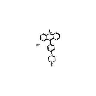 C[n+]1c2ccccc2c(-c2ccc(N3CCNCC3)cc2)c2ccccc21.[Br-]